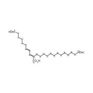 CCCCCCCCCCCCCCCC=CC=C(CCCCCCCCCCCCCCCCCCCCCC)C(=O)O